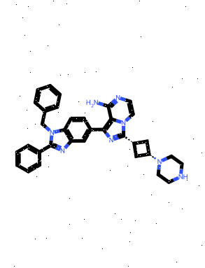 Nc1nccn2c1c(-c1ccc3c(c1)nc(-c1ccccc1)n3Cc1ccccc1)nc2[C@H]1C[C@@H](N2CCNCC2)C1